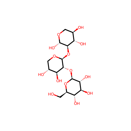 OC[C@H]1O[C@@H](O[C@H]2[C@H](O[C@@H]3[C@@H](O)[C@H](O)CO[C@H]3O)OC[C@@H](O)[C@@H]2O)[C@H](O)[C@@H](O)[C@@H]1O